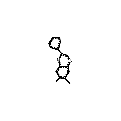 Cc1cc2ncc(-c3ccccc3)nc2cc1C